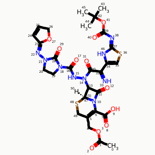 CC(=O)OCC1=C(C(=O)O)N2C(=O)C(N(NC(=O)N3CCN(N=C4C=CCO4)C3=O)C(=O)C(=N)c3csc(=NC(=O)OC(C)(C)C)[nH]3)[C@@H]2SC1